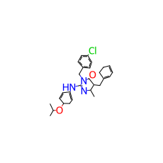 CC(C)OC1C=CC(NC2=NC(C)C(CC3=CC=CCC3)C(=O)N2Cc2ccc(Cl)cc2)=CC1